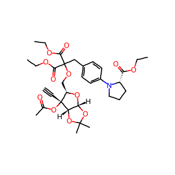 C#C[C@@]1(OC(C)=O)[C@@H](COC(Cc2ccc(N3CCC[C@H]3C(=O)OCC)cc2)(C(=O)OCC)C(=O)OCC)O[C@@H]2OC(C)(C)O[C@@H]21